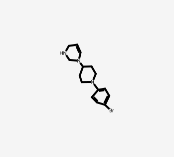 Brc1ccc(N2CCC(N3C=CCNC3)CC2)cc1